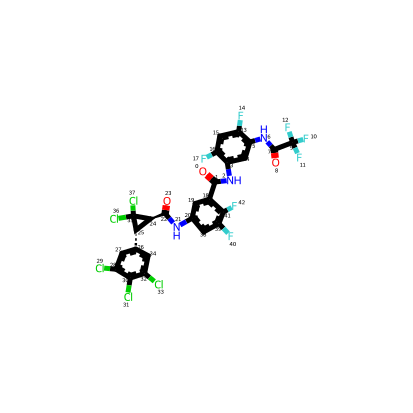 O=C(Nc1cc(NC(=O)C(F)(F)F)c(F)cc1F)c1cc(NC(=O)[C@H]2[C@H](c3cc(Cl)c(Cl)c(Cl)c3)C2(Cl)Cl)cc(F)c1F